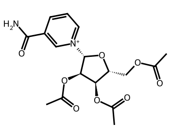 CC(=O)OC[C@H]1O[C@@H]([n+]2cccc(C(N)=O)c2)[C@H](OC(C)=O)[C@@H]1OC(C)=O